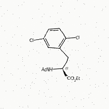 CCOC(=O)[C@H](Cc1cc(Cl)ccc1Cl)NC(C)=O